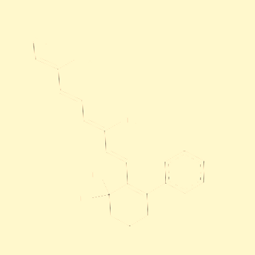 CC(/C=C/C1=C(c2ccccc2)CCCC1(C)C)=C\C=C\C(C)=C\C(=O)O